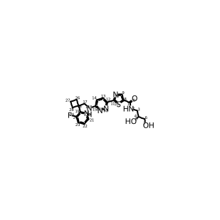 O=C(NCC(O)CO)c1cnc(-c2ccc(NCC3(c4ncccc4F)CCC3)nn2)s1